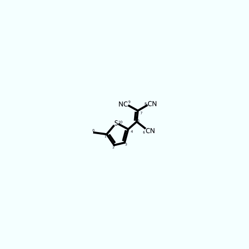 Cc1ccc(C(C#N)=C(C#N)C#N)s1